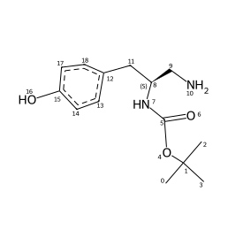 CC(C)(C)OC(=O)N[C@H](CN)Cc1ccc(O)cc1